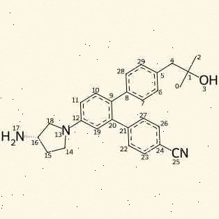 CC(C)(O)Cc1ccc(-c2ccc(N3CC[C@H](N)C3)cc2-c2ccc(C#N)cc2)cc1